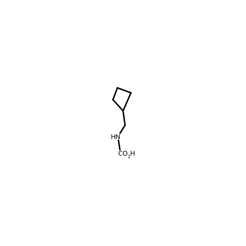 O=C(O)NCC1CCC1